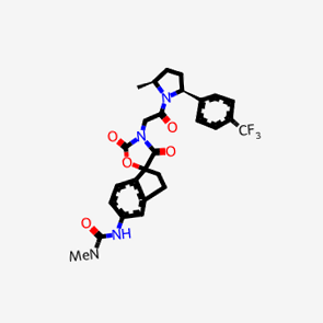 CNC(=O)Nc1ccc2c(c1)CCC21OC(=O)N(CC(=O)N2[C@@H](C)CC[C@H]2c2ccc(C(F)(F)F)cc2)C1=O